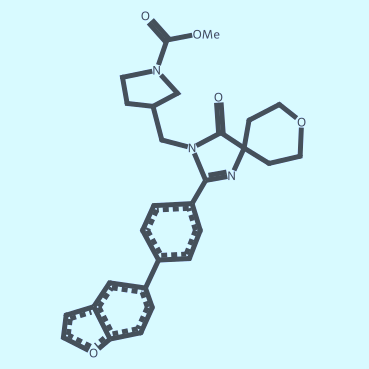 COC(=O)N1CCC(CN2C(=O)C3(CCOCC3)N=C2c2ccc(-c3ccc4occc4c3)cc2)C1